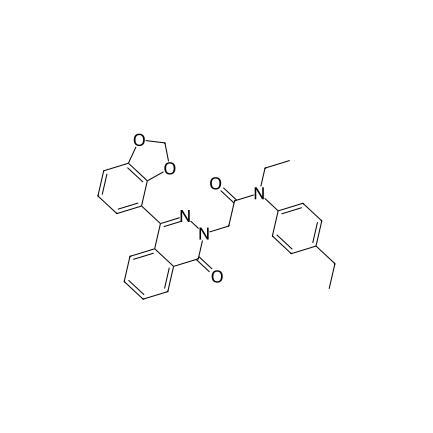 CCc1ccc(N(CC)C(=O)Cn2nc(-c3cccc4c3OCO4)c3ccccc3c2=O)cc1